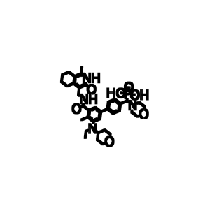 CCN(c1cc(-c2ccc(C(N3CCOCC3)P(=O)(O)O)cc2)cc(C(=O)NCc2c3c(c(C)[nH]c2=O)CCCC3)c1C)C1CCOCC1